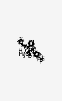 CC1(C)C(=O)N(c2ccc(OC(F)(F)F)cc2)C(=O)N1C(OCCN1CCCC1)c1ccncc1